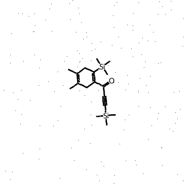 CC1=C(C)CC([Si](C)(C)C)=C(C(=O)C#C[Si](C)(C)C)C1